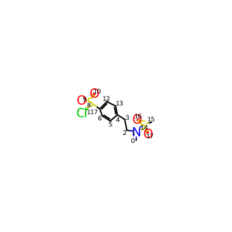 CN(CCc1ccc(S(=O)(=O)Cl)cc1)S(C)(=O)=O